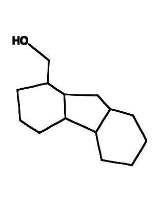 OCC1CCCC2C3CCCCC3CC12